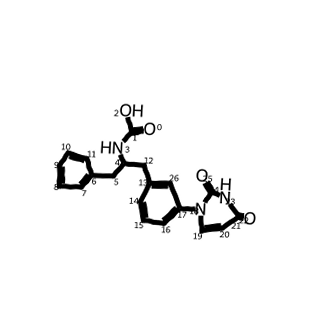 O=C(O)NC(Cc1ccccc1)Cc1cccc(-n2ccc(=O)[nH]c2=O)c1